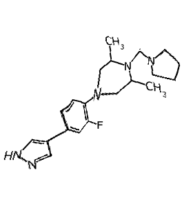 CC1CN(c2ccc(-c3cn[nH]c3)cc2F)CC(C)N1[CH]N1CCCC1